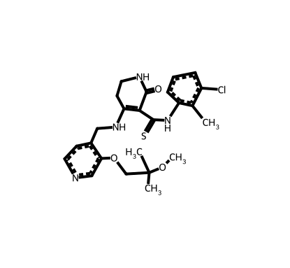 COC(C)(C)COc1cnccc1CNC1=C(C(=S)Nc2cccc(Cl)c2C)C(=O)NCC1